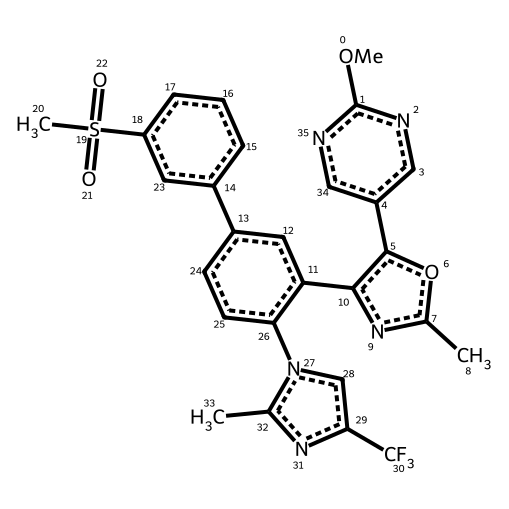 COc1ncc(-c2oc(C)nc2-c2cc(-c3cccc(S(C)(=O)=O)c3)ccc2-n2cc(C(F)(F)F)nc2C)cn1